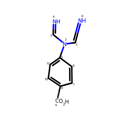 N=CN(C=N)c1ccc(C(=O)O)cc1